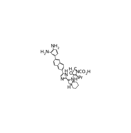 CC(C)[C@@H](C(=O)N1[C@H](c2ncc(-c3ccc4cc(-c5ccc(N)c(N)c5)ccc4c3)[nH]2)C[C@@H]2CCCC[C@@H]21)N(C)C(=O)O